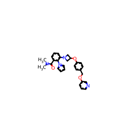 CN(C)C(=O)c1cccc(N2CC(Oc3ccc(COc4cccnc4)cc3)C2)c1-n1cccc1